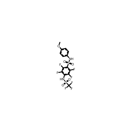 COc1ccc(NS(=O)(=O)c2c(F)c(F)c(NS(=O)(=O)C(F)(F)F)c(F)c2F)cc1